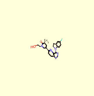 Cc1cc(-c2ccc3ncnc(N4CCc5cc(F)ccc54)c3n2)cn(CCO)c1=O